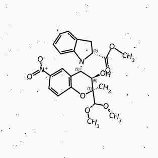 COC(=O)[C@H]1Cc2ccccc2N1[C@H]1c2cc([N+](=O)[O-])ccc2O[C@](C)(C(OC)OC)[C@@H]1O